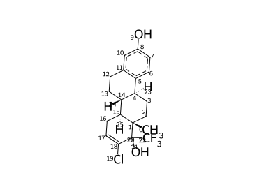 C[C@]12CC[C@@H]3c4ccc(O)cc4CC[C@H]3[C@@H]1CC=C(Cl)C2(O)C(F)(F)F